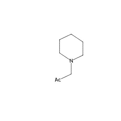 CC(=O)CN1CCCCC1